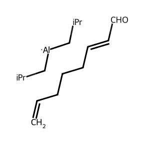 C=CCCCC=CC=O.CC(C)[CH2][Al][CH2]C(C)C